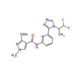 COc1nn(C)cc1C(=O)Nc1cccc(-c2nncn2C(C)C(F)F)n1